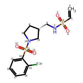 C=CS(=O)(=O)NC[C@H]1CCN(S(=O)(=O)c2ccccc2F)C1